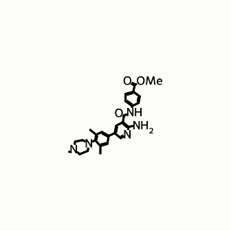 COC(=O)c1ccc(NC(=O)c2cc(-c3cc(C)c(N4CCN(C)CC4)c(C)c3)cnc2N)cc1